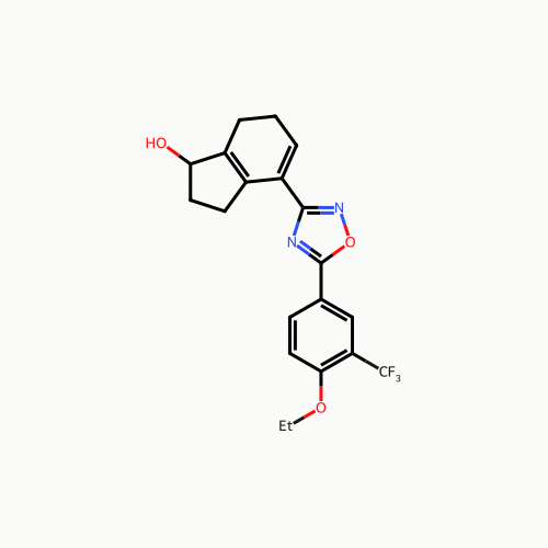 CCOc1ccc(-c2nc(C3=CCCC4=C3CCC4O)no2)cc1C(F)(F)F